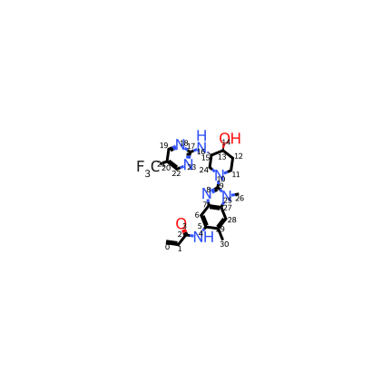 C=CC(=O)Nc1cc2nc(N3CC[C@H](O)[C@@H](Nc4ncc(C(F)(F)F)cn4)C3)n(C)c2cc1C